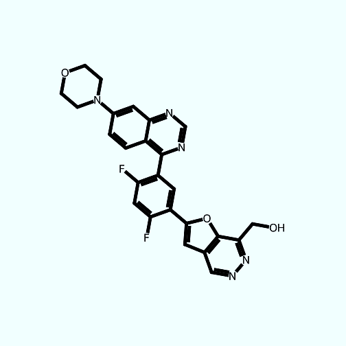 OCc1nncc2cc(-c3cc(-c4ncnc5cc(N6CCOCC6)ccc45)c(F)cc3F)oc12